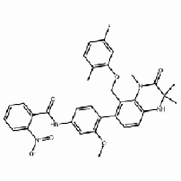 COc1cc(NC(=O)c2ccccc2[N+](=O)[O-])ccc1-c1ccc2c(c1COc1cc(F)ccc1C)N(C)C(=O)C(C)(C)N2